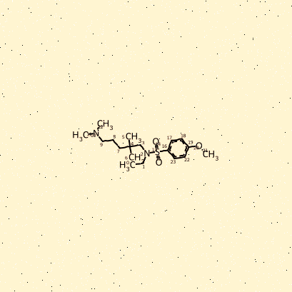 CCN(CC(C)(C)CCCN(C)C)S(=O)(=O)c1ccc(OC)cc1